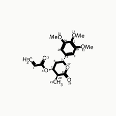 C=CC(=O)O[C@@H]1C[C@H](c2cc(OC)c(OC)c(OC)c2)OC(=O)[C@H]1C